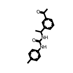 CC(=O)c1cccc(C(C)NC(=O)Nc2ccc(C)cc2)c1